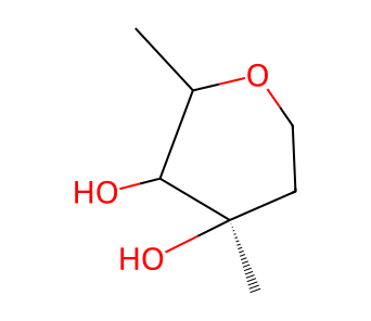 CC1OCC[C@@](C)(O)C1O